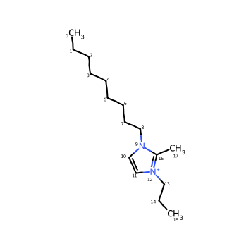 CCCCCCCCCn1cc[n+](CCC)c1C